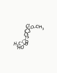 CCOc1cc2sc(C(=O)CC(C)C(=O)O)cc2cc1Cl